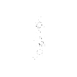 N#Cc1ccc(NC2(C(=O)N3CCN(c4ccc(C(F)(F)F)cn4)CC3)CCCC2)cc1